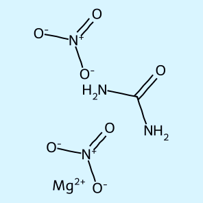 NC(N)=O.O=[N+]([O-])[O-].O=[N+]([O-])[O-].[Mg+2]